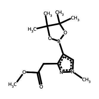 COC(=O)Cc1nn(C)cc1B1OC(C)(C)C(C)(C)O1